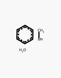 CCCC.O.c1ccccc1